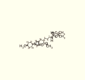 COC(=O)C(CCCNC(=O)OC(C)(C)C)Cc1cn(C2CCC(C)CC2)cn1